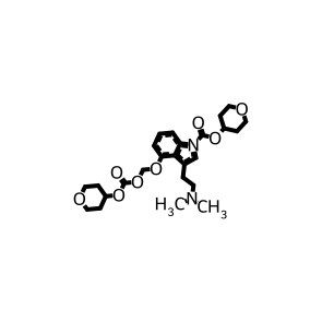 CN(C)CCc1cn(C(=O)OC2CCOCC2)c2cccc(OCOC(=O)OC3CCOCC3)c12